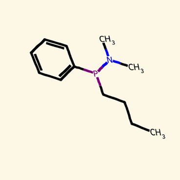 CCCCP(c1ccccc1)N(C)C